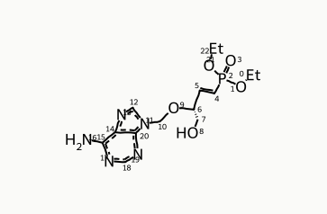 CCOP(=O)(/C=C/[C@H](CO)OCn1cnc2c(N)ncnc21)OCC